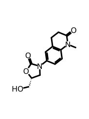 CN1C(=O)CCc2cc(N3C[C@H](CO)OC3=O)ccc21